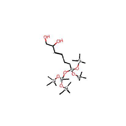 C[Si](C)(C)O[Si](C)(O[Si](C)(C)C)O[Si](CCC[CH]C(O)CO)(O[Si](C)(C)C)O[Si](C)(C)C